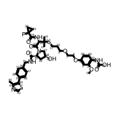 COc1cc(OCCOCCCSC(C)(C)[C@@H](NC(=O)C2(F)CC2)C(=O)N2C[C@H](O)C[C@H]2C(=O)NCc2ccc(-c3scnc3C)cc2)ccc1NC(=O)O